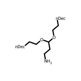 CCCCCCCCCCCCOC(CCN)OCCCCCCCCCCCC